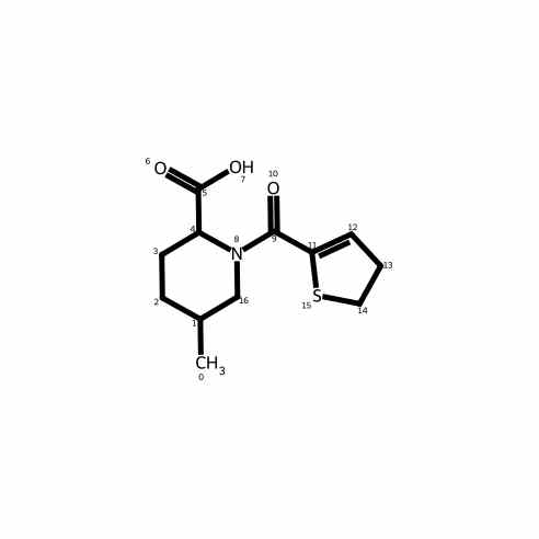 CC1CCC(C(=O)O)N(C(=O)C2=CCCS2)C1